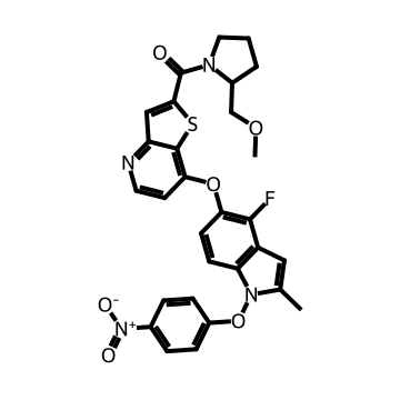 COCC1CCCN1C(=O)c1cc2nccc(Oc3ccc4c(cc(C)n4Oc4ccc([N+](=O)[O-])cc4)c3F)c2s1